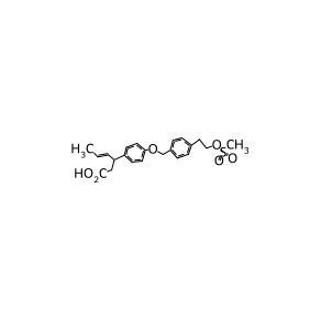 CC=CC(CC(=O)O)c1ccc(OCc2ccc(CCOS(C)(=O)=O)cc2)cc1